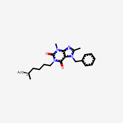 CC(=O)O[C@H](C)CCCCn1c(=O)c2c(nc(C)n2Cc2ccccc2)n(C)c1=O